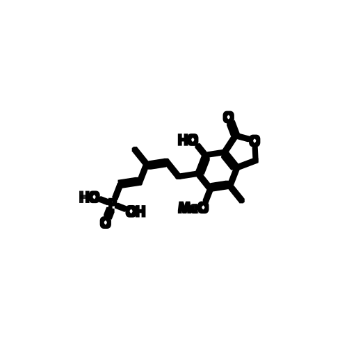 COc1c(C)c2c(c(O)c1CC=C(C)C=CP(=O)(O)O)C(=O)OC2